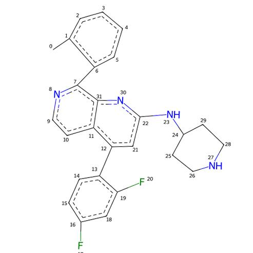 Cc1ccccc1-c1nccc2c(-c3ccc(F)cc3F)cc(NC3CCNCC3)nc12